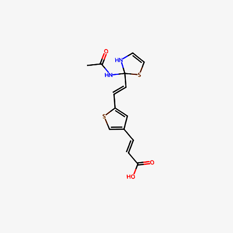 CC(=O)NC1(C=Cc2cc(C=CC(=O)O)cs2)NC=CS1